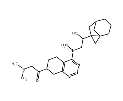 CN(C)CC(=O)N1CCc2c(ncnc2N(N)CC(O)C23CC4CCCC2(C4)C3)C1